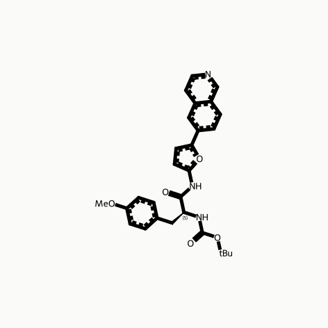 COc1ccc(C[C@H](NC(=O)OC(C)(C)C)C(=O)Nc2ccc(-c3ccc4cnccc4c3)o2)cc1